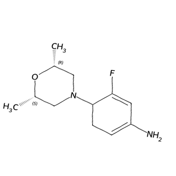 C[C@@H]1CN(C2CC=C(N)C=C2F)C[C@H](C)O1